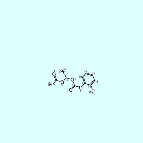 CC(C)C(=O)OC(OC(=O)Oc1ccccc1Cl)C(C)C